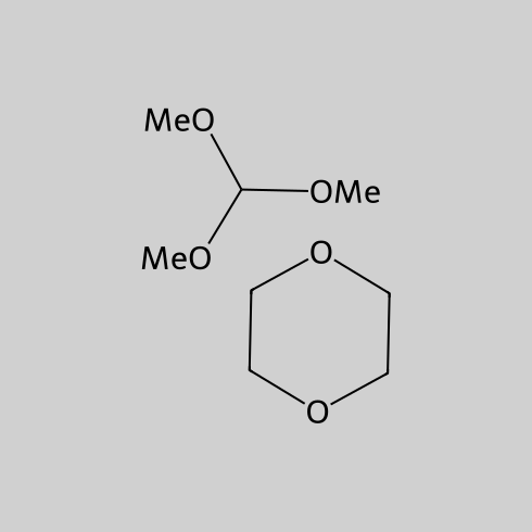 C1COCCO1.COC(OC)OC